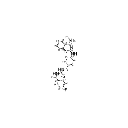 CC(NC(=S)NCC1CCC(Nc2nc(N(C)C)c3ccccc3n2)CC1)c1ccc(F)cc1